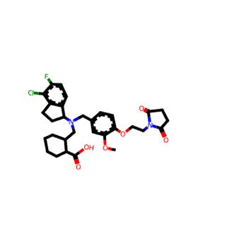 COc1cc(CN(CC2CCCCC2C(=O)O)C2CCc3c2ccc(F)c3Cl)ccc1OCCN1C(=O)CCC1=O